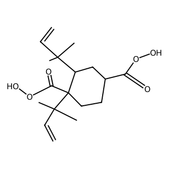 C=CC(C)(C)C1CC(C(=O)OO)CCC1(C(=O)OO)C(C)(C)C=C